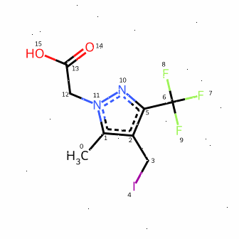 Cc1c(CI)c(C(F)(F)F)nn1CC(=O)O